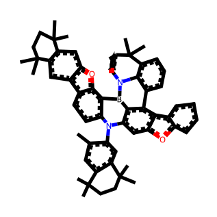 Cc1cc2c(cc1N1c3cc4oc5ccccc5c4c4c3B(c3c1ccc1c3oc3cc5c(cc31)C(C)(C)CCC5(C)C)N1c3ccccc3C(C)(C)c3cccc-4c31)C(C)(C)CCC2(C)C